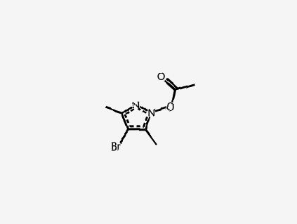 CC(=O)On1nc(C)c(Br)c1C